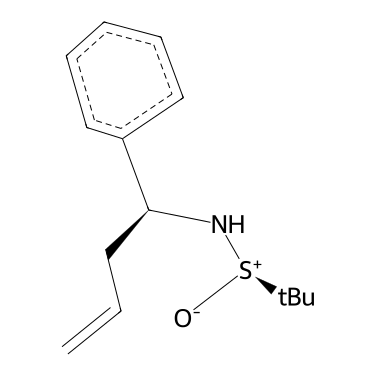 C=CC[C@H](N[S@+]([O-])C(C)(C)C)c1ccccc1